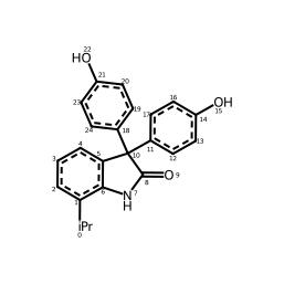 CC(C)c1cccc2c1NC(=O)C2(c1ccc(O)cc1)c1ccc(O)cc1